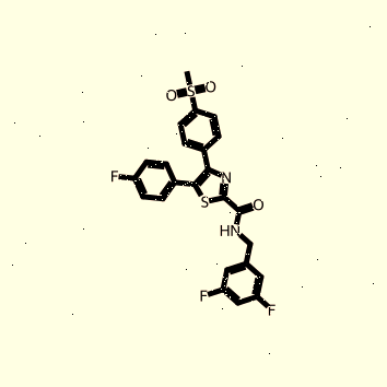 CS(=O)(=O)c1ccc(-c2nc(C(=O)NCc3cc(F)cc(F)c3)sc2-c2ccc(F)cc2)cc1